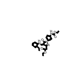 CCOC(=O)CC1=NN(c2ccc(NC(=O)OCC)cc2)C(=O)C1=CNc1ccccc1CC